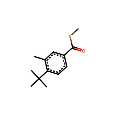 CSC(=O)c1ccc(C(C)(C)C)c(C)c1